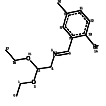 CCOC(CN=Cc1cc(C)ccc1Br)OCC